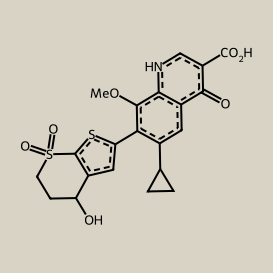 COc1c(-c2cc3c(s2)S(=O)(=O)CCC3O)c(C2CC2)cc2c(=O)c(C(=O)O)c[nH]c12